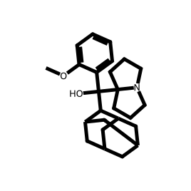 COc1ccccc1C(O)(C1C2CC3CC(C2)CC1C3)C12CCCN1CCC2